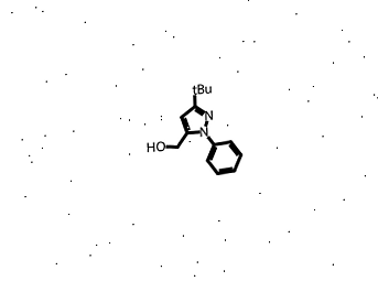 CC(C)(C)c1cc(CO)n(-c2ccccc2)n1